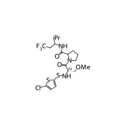 COC[C@H](NSc1ccc(Cl)s1)C(=O)N1CCCC1C(=O)NC(CC(F)(F)F)C(C)C